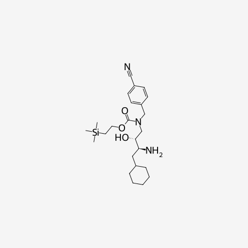 C[Si](C)(C)CCOC(=O)N(Cc1ccc(C#N)cc1)C[C@@H](O)[C@@H](N)CC1CCCCC1